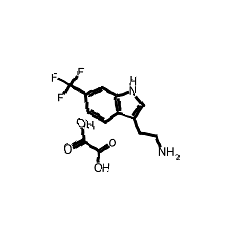 NCCc1c[nH]c2cc(C(F)(F)F)ccc12.O=C(O)C(=O)O